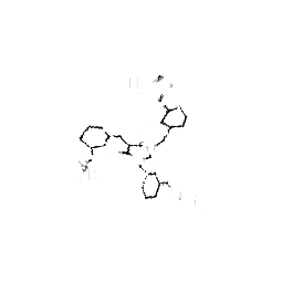 C=NCC1CCCC(CC2C(=O)N(CC3CCCC(CN)C3)C(=O)N(CC3CCCC(CN=C)C3)C2=O)C1